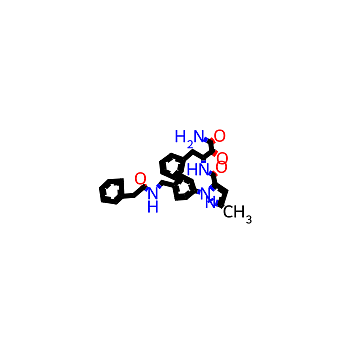 Cc1cc(C(=O)NC(Cc2ccccc2)C(=O)C(N)=O)n(-c2ccc(CNC(=O)Cc3ccccc3)cc2)n1